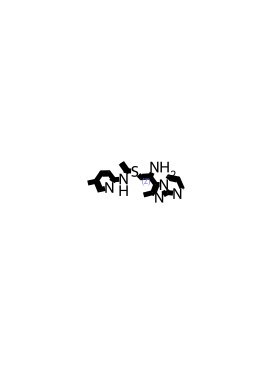 C=C(Nc1ccc(C)cn1)S/C=C(\N)c1c(C)nc2ncccn12